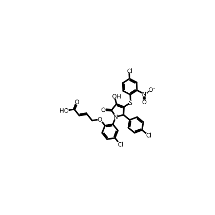 O=C(O)/C=C/COc1ccc(Cl)cc1N1C(=O)C(O)=C(Sc2ccc(Cl)cc2[N+](=O)[O-])C1c1ccc(Cl)cc1